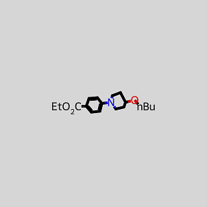 CCCCOC1CCN(c2ccc(C(=O)OCC)cc2)CC1